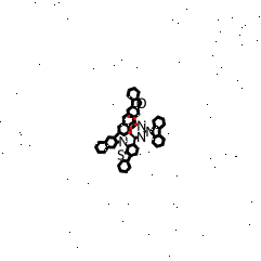 C1=C(c2ccc3c(c2)oc2ccccc23)N=C(n2c3ccccc3c3ccccc32)N=C(c2ccc3c(sc4ccccc43)c2-n2c3cc4ccccc4cc3c3cc4ccccc4cc32)C1